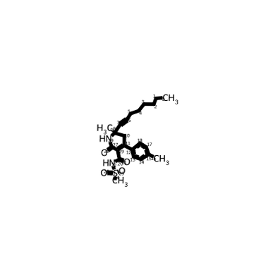 CCCCCCC#C[C@]1(C)CC(c2ccc(C)cc2)=C(C(=O)NS(C)(=O)=O)C(=O)N1